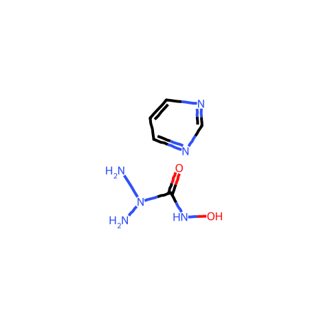 NN(N)C(=O)NO.c1cncnc1